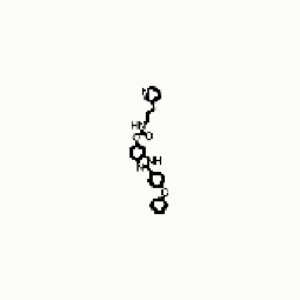 O=C(NCCCc1cccnc1)Oc1ccc2nc(-c3ccc(Oc4ccccc4)cc3)[nH]c2c1